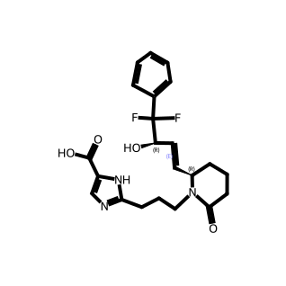 O=C(O)c1cnc(CCCN2C(=O)CCC[C@@H]2/C=C/[C@@H](O)C(F)(F)c2ccccc2)[nH]1